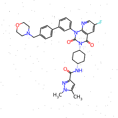 Cc1cc(C(=O)N[C@H]2CC[C@@H](n3c(=O)c4cc(F)cnc4n(-c4cccc(-c5ccc(CN6CCOCC6)cc5)c4)c3=O)CC2)nn1C